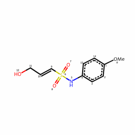 COc1ccc(NS(=O)(=O)/C=C/CO)cc1